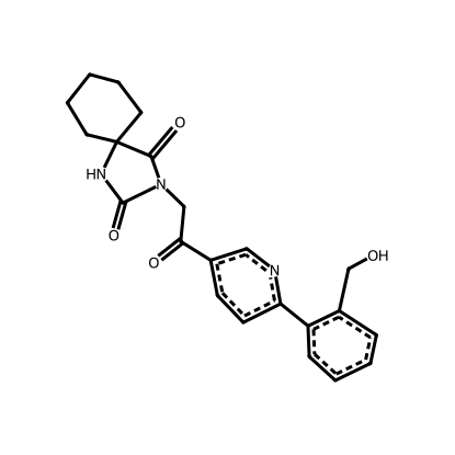 O=C(CN1C(=O)NC2(CCCCC2)C1=O)c1ccc(-c2ccccc2CO)nc1